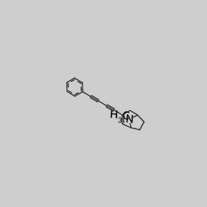 CN1C2C=C(C#CC#Cc3ccccc3)CC1CC2